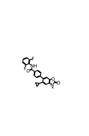 Cn1c(=O)oc2cc(-c3ccc(C(=O)Nc4c(F)cccc4F)cc3)c(C3CC3)cc21